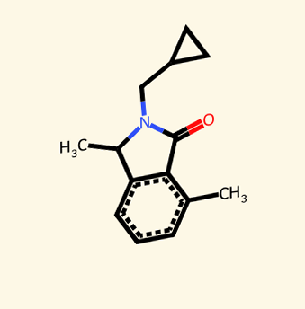 Cc1cccc2c1C(=O)N(CC1CC1)C2C